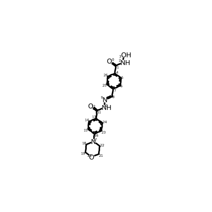 O=C(NO)c1ccc(C=NNC(=O)c2ccc(N3CCOCC3)cc2)cc1